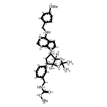 COc1ccc(CNc2ncnc3c2ccn3[C@@H]2C[C@H](c3cccc(CNC(=O)OC(C)(C)C)c3)[C@H]3OC(C)(C)O[C@H]32)cc1